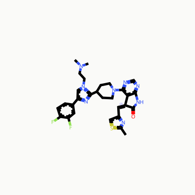 Cc1nc(/C=C2\C(=O)Nc3ncnc(N4CCC(c5nc(-c6ccc(F)c(F)c6)cn5CCN(C)C)CC4)c32)cs1